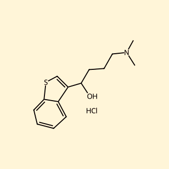 CN(C)CCCC(O)c1csc2ccccc12.Cl